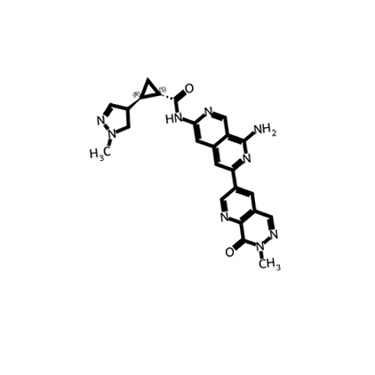 CN1CC([C@H]2C[C@@H]2C(=O)Nc2cc3cc(-c4cnc5c(=O)n(C)ncc5c4)nc(N)c3cn2)C=N1